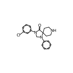 O=C1N(c2cccc(Cl)c2)CN(c2ccccc2)C12CCNCC2